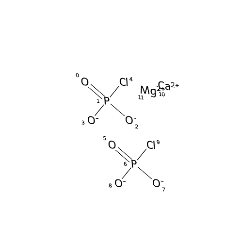 O=P([O-])([O-])Cl.O=P([O-])([O-])Cl.[Ca+2].[Mg+2]